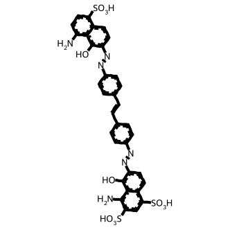 Nc1ccc(S(=O)(=O)O)c2ccc(N=Nc3ccc(C=Cc4ccc(N=Nc5ccc6c(S(=O)(=O)O)cc(S(=O)(=O)O)c(N)c6c5O)cc4)cc3)c(O)c12